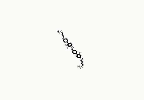 C=CCCCOc1ccc(C2CCC(COc3ccc(C4CCC(OCCCC)CC4)c(F)c3F)CC2)c(F)c1